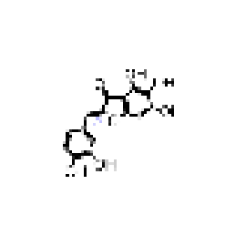 O=C1/C(=C/c2ccc(O)c(O)c2)Oc2cc(O)c(O)c(O)c21